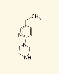 CCc1ccc(N2CCNCC2)nc1